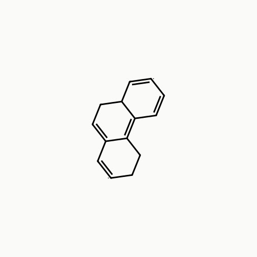 [C]1=CC2=CCC3C=[C]C=CC3=C2CC1